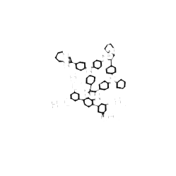 Cc1cc(C)cc(-c2ccc(-c3cc(C)cc(C)c3)c3nc(-c4ccc(N(c5ccccc5)c5ccc(C6CN7C=CC=CC7=N6)cc5)cc4)c(-c4ccc(N(c5ccccc5)c5ccc(-c6cn7ccccc7n6)cc5)cc4)nc23)c1